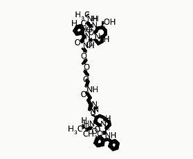 CN[C@@H](C)C(=O)N[C@@H]1C(=O)N2[C@@H](CC[C@@H]1Cn1cc(CCC(=O)NCCOCCOCCOCCNC(=O)[C@@H](NC(=O)[C@@H]3CC[C@@H]4CC[C@H](CO)[C@H](NC(=O)[C@H](C)NC)C(=O)N43)c3ccccc3)nn1)CC[C@H]2C(=O)NC(c1ccccc1)c1ccccc1